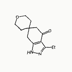 CCc1n[nH]c2c1C(=O)CC1(CCOCC1)C2